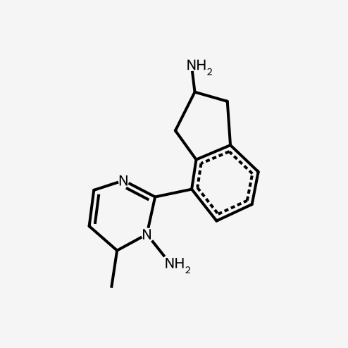 CC1C=CN=C(c2cccc3c2CC(N)C3)N1N